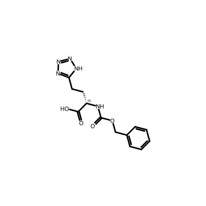 O=C(N[C@@H](CCc1nnn[nH]1)C(=O)O)OCc1ccccc1